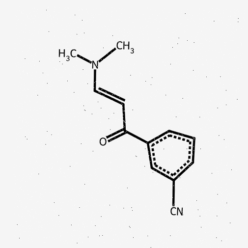 CN(C)C=CC(=O)c1cccc(C#N)c1